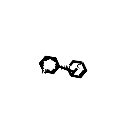 C1=CC2NCC1CC2c1cccnc1